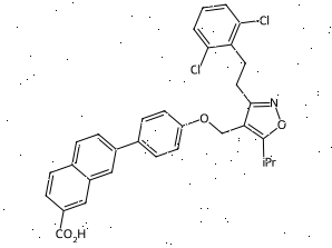 CC(C)c1onc(CCc2c(Cl)cccc2Cl)c1COc1ccc(-c2ccc3ccc(C(=O)O)cc3c2)cc1